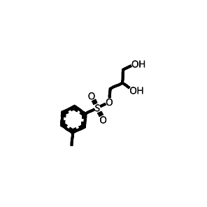 Cc1cccc(S(=O)(=O)OCC(O)CO)c1